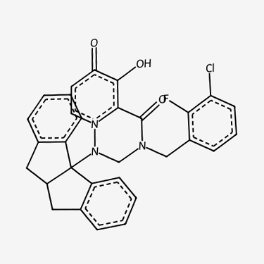 O=C1c2c(O)c(=O)ccn2N(C23c4ccccc4CC2Cc2ccccc23)CN1Cc1cccc(Cl)c1F